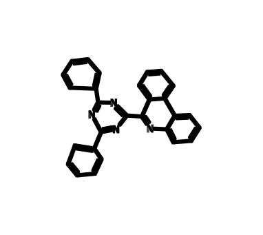 c1ccc(-c2nc(-c3ccccc3)nc(-c3nc4ccccc4c4ccccc34)n2)cc1